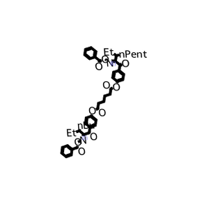 CCCCCC(CC)/C(=N\OC(=O)c1ccccc1)C(=O)c1ccc(OC(=O)CCCCC(=O)Oc2ccc(C(=O)/C(=N/OC(=O)c3ccccc3)C(CC)CCCC)cc2)cc1